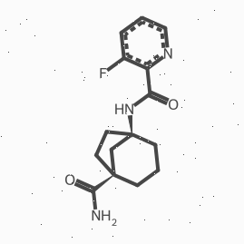 NC(=O)[C@@]12CCC[C@@](NC(=O)c3ncccc3F)(CC1)C2